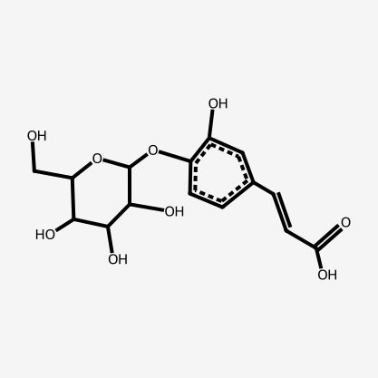 O=C(O)C=Cc1ccc(OC2OC(CO)C(O)C(O)C2O)c(O)c1